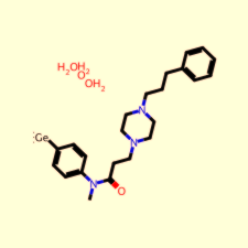 CN(C(=O)CCN1CCN(CCCc2ccccc2)CC1)c1cc[c]([Ge])cc1.O.O.O